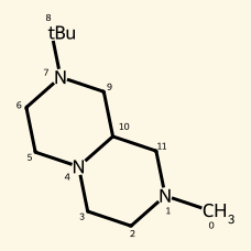 CN1CCN2CCN(C(C)(C)C)CC2C1